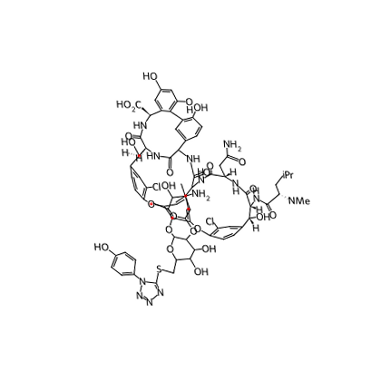 CN[C@@H](CC(C)C)C(=O)N[C@H]1C(=O)N[C@@H](CC(N)=O)C(=O)NC2C(=O)NC3C(=O)N[C@H](C(=O)N[C@@H](C(=O)O)c4cc(O)cc(O)c4-c4cc3ccc4O)[C@H](O)c3ccc(c(Cl)c3)Oc3cc2cc(c3OC2OC(CSc3nnnn3-c3ccc(O)cc3)C(O)C(O)C2OC2CC(C)(N)C(O)C(C)O2)Oc2ccc(cc2Cl)[C@H]1O